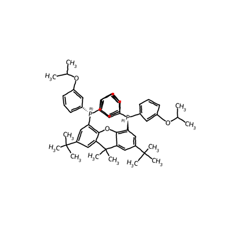 CC(C)Oc1cccc([P@](c2ccccc2)c2cc(C(C)(C)C)cc3c2Oc2c([P@@](c4ccccc4)c4cccc(OC(C)C)c4)cc(C(C)(C)C)cc2C3(C)C)c1